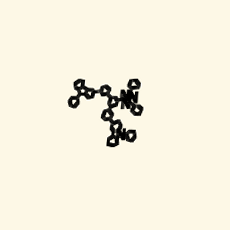 c1ccc(-c2nc(-c3ccccc3)nc(-c3cc(-c4cccc(-c5ccc6c(c5)-c5ccccc5C6c5ccccc5)c4)cc(-c4cccc(-c5ccc6c(c5)c5ccccc5n6-c5ccccc5)c4)c3)n2)cc1